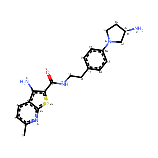 Cc1ccc2c(N)c(C(=O)NCCc3ccc(N4CC[C@@H](N)C4)cc3)sc2n1